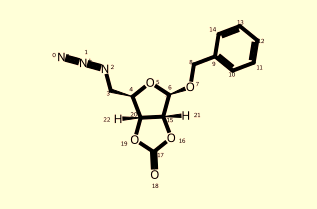 [N-]=[N+]=NC[C@H]1O[C@@H](OCc2ccccc2)[C@@H]2OC(=O)O[C@@H]21